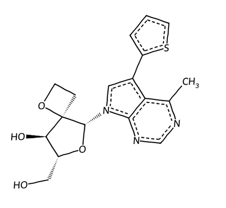 Cc1ncnc2c1c(-c1cccs1)cn2[C@@H]1O[C@H](CO)[C@@H](O)[C@]12CCO2